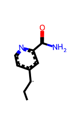 CC[CH]c1ccnc(C(N)=O)c1